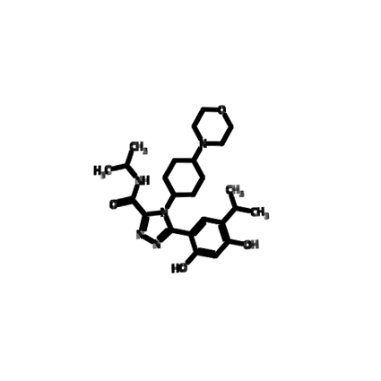 CC(C)NC(=O)c1nnc(-c2cc(C(C)C)c(O)cc2O)n1C1CCC(N2CCOCC2)CC1